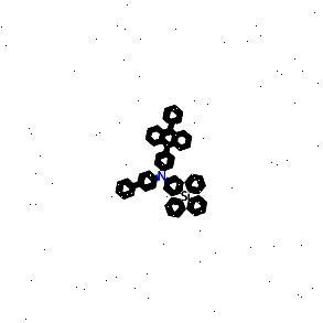 c1ccc(-c2ccc(N(c3ccc(-c4c5c(c(-c6ccccc6)c6c4CCCC6)CCCC5)cc3)c3ccc([Si](c4ccccc4)(c4ccccc4)c4ccccc4)cc3)cc2)cc1